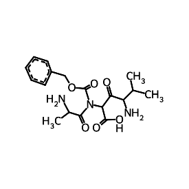 CC(N)C(=O)N(C(=O)OCc1ccccc1)C(C(=O)O)C(=O)C(N)C(C)C